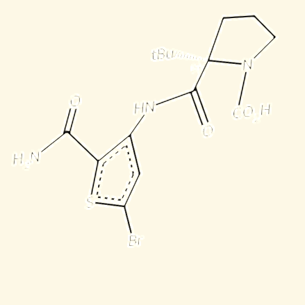 CC(C)(C)[C@]1(C(=O)Nc2cc(Br)sc2C(N)=O)CCCN1C(=O)O